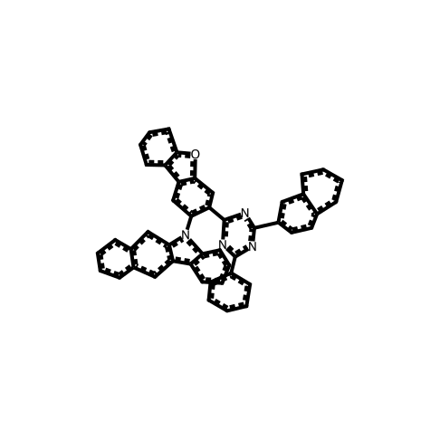 c1ccc(-c2nc(-c3ccc4ccccc4c3)nc(-c3cc4oc5ccccc5c4cc3-n3c4ccccc4c4cc5ccccc5cc43)n2)cc1